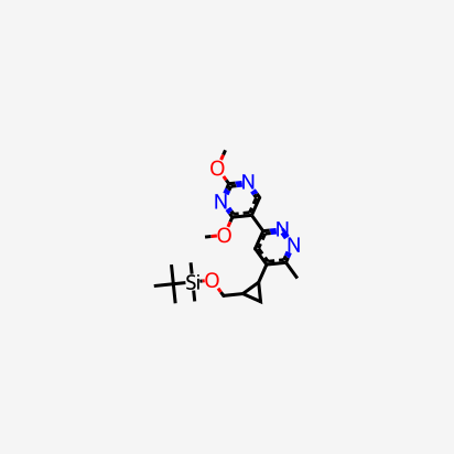 COc1ncc(-c2cc(C3CC3CO[Si](C)(C)C(C)(C)C)c(C)nn2)c(OC)n1